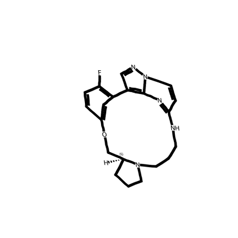 Fc1ccc2cc1-c1cnn3ccc(nc13)NCCCN1CCC[C@H]1CO2